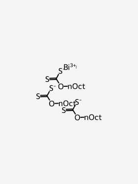 CCCCCCCCOC(=S)[S-].CCCCCCCCOC(=S)[S-].CCCCCCCCOC(=S)[S-].[Bi+3]